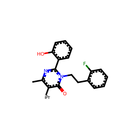 Cc1nc(-c2ccccc2O)n(CCc2ccccc2F)c(=O)c1C(C)C